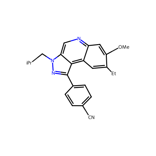 CCc1cc2c(cc1OC)ncc1c2c(-c2ccc(C#N)cc2)nn1CC(C)C